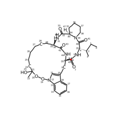 CCC(C)[C@@H]1NC(=O)[C@@H]2Cc3cn(c4ccccc34)OOC(C)(O)CCCCCC[C@H](NC(=O)[C@H]3CCCCN3C1=O)C(=O)N2